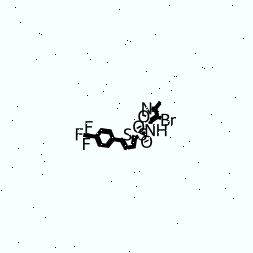 Cc1noc(NS(=O)(=O)c2ccc(-c3ccc(C(F)(F)F)cc3)s2)c1Br